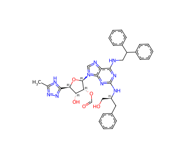 Cc1nnc([C@H]2O[C@@H](n3cnc4c(NCC(c5ccccc5)c5ccccc5)nc(N[C@H](CO)Cc5ccccc5)nc43)[C@H](OC=O)[C@@H]2O)[nH]1